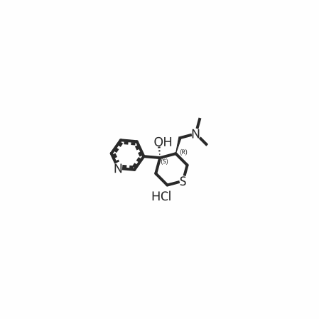 CN(C)C[C@H]1CSCC[C@@]1(O)c1cccnc1.Cl